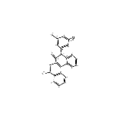 N#C/C(=C/c1cc2cccnc2n(-c2cc(Cl)cc(Cl)c2)c1=O)c1ccccn1